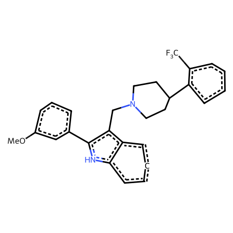 COc1cccc(-c2[nH]c3ccccc3c2CN2CCC(c3ccccc3C(F)(F)F)CC2)c1